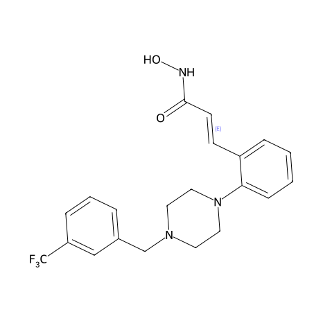 O=C(/C=C/c1ccccc1N1CCN(Cc2cccc(C(F)(F)F)c2)CC1)NO